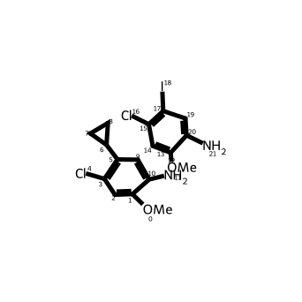 COc1cc(Cl)c(C2CC2)cc1N.COc1cc(Cl)c(I)cc1N